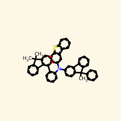 CC1(C)c2ccccc2-c2c(-c3ccccc3N(c3ccc4c(c3)-c3ccccc3C4(C)c3ccccc3)c3ccc4sc5ccccc5c4c3)cccc21